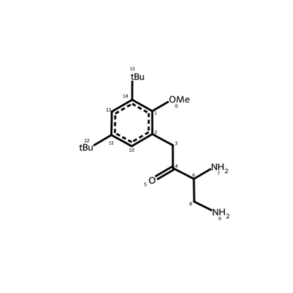 COc1c(CC(=O)C(N)CN)cc(C(C)(C)C)cc1C(C)(C)C